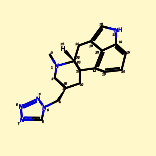 CN1C[C@H](Cn2cnnn2)CC2c3cccc4[nH]cc(c34)C[C@H]21